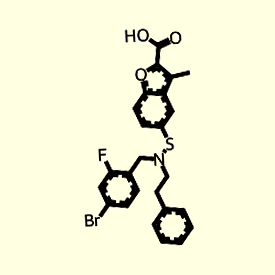 Cc1c(C(=O)O)oc2ccc(SN(CCc3ccccc3)Cc3ccc(Br)cc3F)cc12